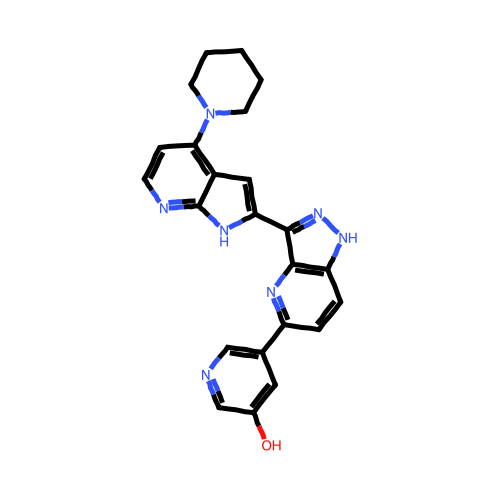 Oc1cncc(-c2ccc3[nH]nc(-c4cc5c(N6CCCCC6)ccnc5[nH]4)c3n2)c1